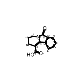 O=C(O)C1=C2c3ccccc3C(=O)N2CCC1